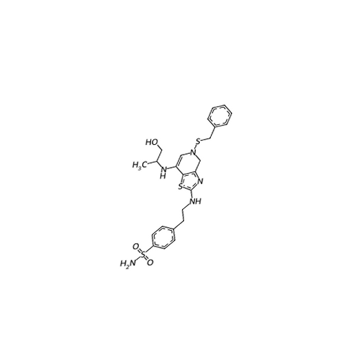 CC(CO)NC1=CN(SCc2ccccc2)Cc2nc(NCCc3ccc(S(N)(=O)=O)cc3)sc21